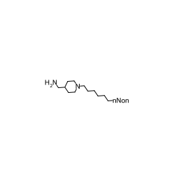 CCCCCCCCCCCCCCCN1CCC(CN)CC1